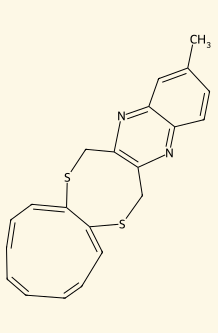 Cc1ccc2nc3c(nc2c1)CSc1ccccccccc1SC3